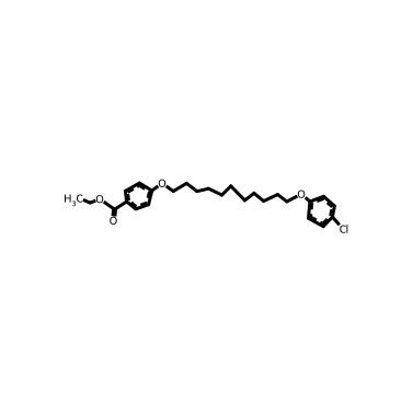 CCOC(=O)c1ccc(OCCCCCCCCCCCOc2ccc(Cl)cc2)cc1